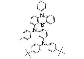 Cc1ccc(N2c3cc(N(c4ccc(C(C)(C)C)cc4)c4ccc(C(C)(C)C)cc4)ccc3B3c4ccccc4N(C4=CCCCC4)c4cccc2c43)cc1